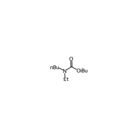 CCCCN(CC)C(=O)OCC(C)C